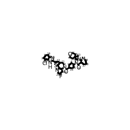 O=C(Nc1ccc(C(=O)N2CCc3cc(-c4nc5cccc(Cl)c5[nH]4)sc3-c3ncc(F)cc32)cc1)c1cccnc1N1CC2(CCOCC2)C1